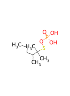 CCCC(C)C(C)(C)SOP(=O)(O)O